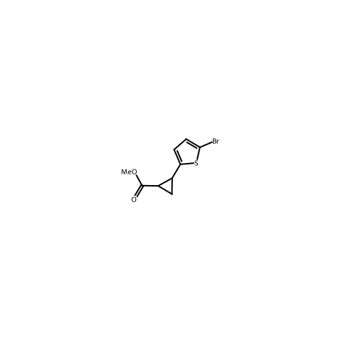 COC(=O)C1CC1c1ccc(Br)s1